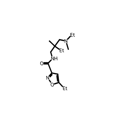 CCc1cc(C(=O)NCC(C)(CC)CN(C)CC)no1